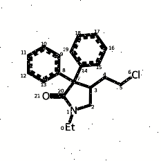 CCN1CC(CCCl)C(c2ccccc2)(c2ccccc2)C1=O